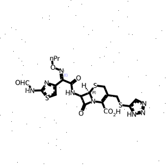 CCCO/N=C(/C(=O)NC1C(=O)N2C(C(=O)O)=C(CSc3cnn[nH]3)CS[C@H]12)c1csc(NC=O)n1